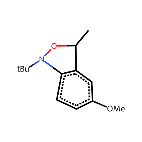 COc1ccc2c(c1)C(C)ON2C(C)(C)C